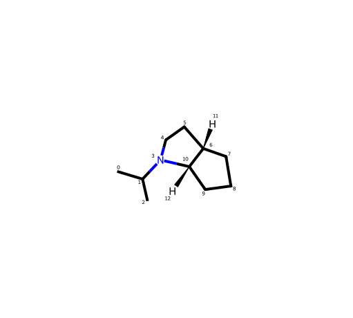 CC(C)N1CC[C@@H]2CCC[C@@H]21